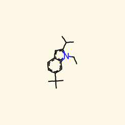 CCn1c(C(C)C)cc2ccc(C(C)(C)C)cc21